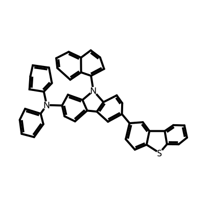 c1ccc(N(c2ccccc2)c2ccc3c4cc(-c5ccc6sc7ccccc7c6c5)ccc4n(-c4cccc5ccccc45)c3c2)cc1